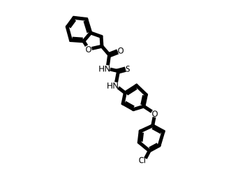 O=C(NC(=S)Nc1ccc(Oc2ccc(Cl)cc2)cc1)C1Cc2ccccc2O1